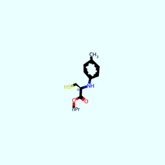 CCCOC(=O)[C@@H](CS)Nc1ccc(C)cc1